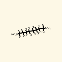 O=S(=O)(O)C(Cl)(Cl)C(Cl)(Cl)C(Cl)(Cl)C(Cl)(Cl)C(Cl)(Cl)C(Cl)(Cl)C(Cl)(Cl)C(Cl)(Cl)C(Cl)(Cl)Cl